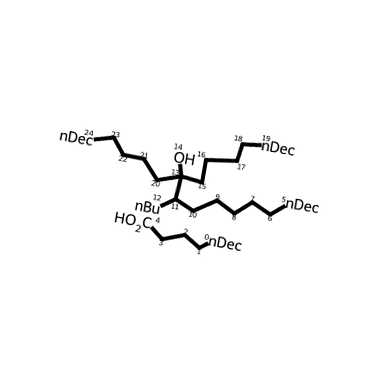 CCCCCCCCCCCCCC(=O)O.CCCCCCCCCCCCCCCC(CCCC)C(O)(CCCCCCCCCCCCCC)CCCCCCCCCCCCCC